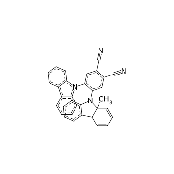 CC12C=CC=CC1c1ccccc1N2c1cc(C#N)c(C#N)cc1-n1c2ccccc2c2ccccc21